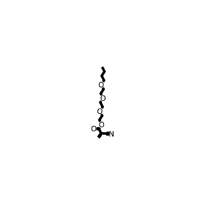 C=C(C#N)C(=O)OCCOCCOCCOCCCC